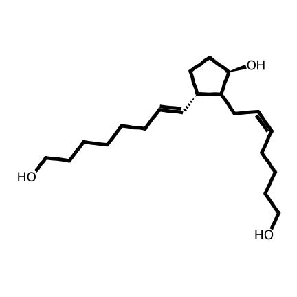 OCCCC/C=C\CC1[C@H](O)CC[C@H]1C=CCCCCCCO